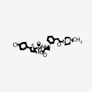 CN1CCN(C(=O)Cc2cccc([C@@H]3C[C@]3(NS(=O)(=O)c3ccc(-c4ccc(Cl)cc4)s3)C(=O)O)c2)CC1